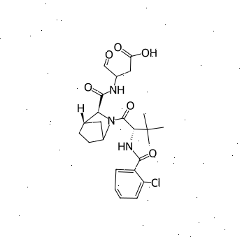 CC(C)(C)[C@H](NC(=O)c1ccccc1Cl)C(=O)N1C2CC[C@@H](C2)[C@H]1C(=O)NC(C=O)CC(=O)O